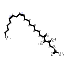 CCCCC/C=C\C/C=C\CCCCCCCC(=O)C(O)C(O)COC(C)=O